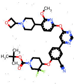 COc1nc(Oc2cc(-c3ccc(OC4CCN(C(=O)OC(C)(C)C)CC4(F)F)c(C#N)c3)ncn2)ccc1C1CCN(C2COC2)CC1